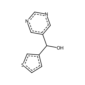 OC(c1cncnc1)c1ccsc1